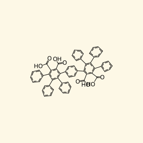 O=C(O)c1c(C(=O)O)c(-c2ccc(-c3c(C(=O)O)c(C(=O)O)c(-c4ccccc4)c(-c4ccccc4)c3-c3ccccc3)cc2)c(-c2ccccc2)c(-c2ccccc2)c1-c1ccccc1